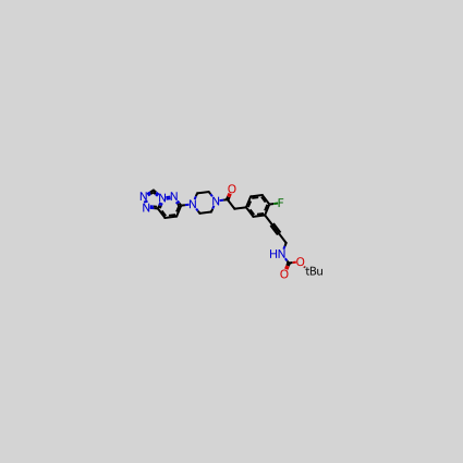 CC(C)(C)OC(=O)NCC#Cc1cc(CC(=O)N2CCN(c3ccc4nncn4n3)CC2)ccc1F